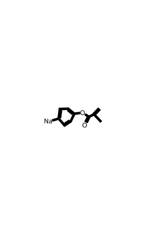 C=C(C)C(=O)Oc1cc[c]([Na])cc1